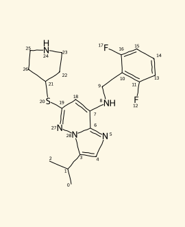 CC(C)c1cnc2c(NCc3c(F)cccc3F)cc(SC3CCNCC3)nn12